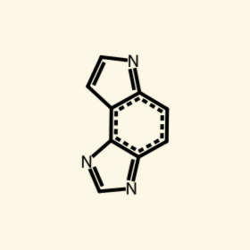 C1=Cc2c3c(ccc2=N1)=NC=N3